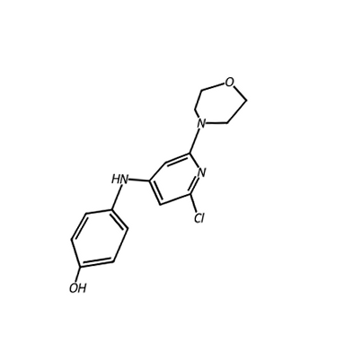 Oc1ccc(Nc2cc(Cl)nc(N3CCOCC3)c2)cc1